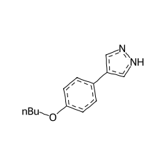 CCCCOc1ccc(-c2cn[nH]c2)cc1